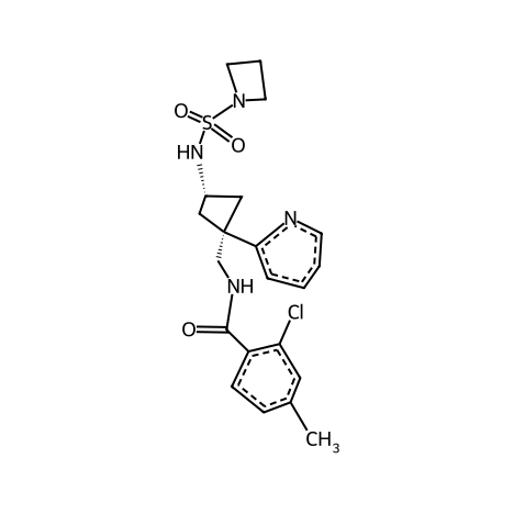 Cc1ccc(C(=O)NC[C@]2(c3ccccn3)C[C@H](NS(=O)(=O)N3CCC3)C2)c(Cl)c1